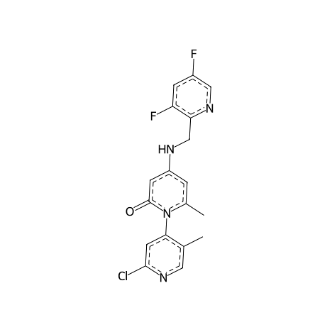 Cc1cnc(Cl)cc1-n1c(C)cc(NCc2ncc(F)cc2F)cc1=O